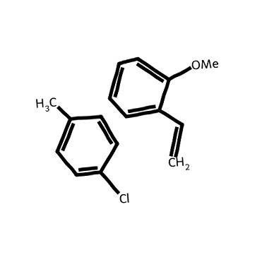 C=Cc1ccccc1OC.Cc1ccc(Cl)cc1